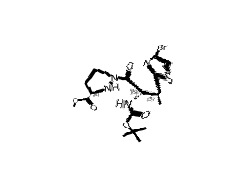 COC(=O)[C@@H]1CCCN(C(=O)[C@@H](NC(=O)OC(C)(C)C)[C@H](C)c2nc(Br)cs2)N1